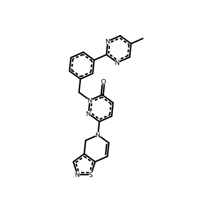 Cc1cnc(-c2cccc(Cn3nc(N4C=Cc5sncc5C4)ccc3=O)c2)nc1